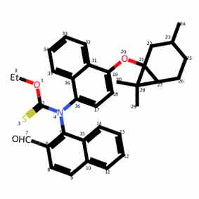 CCOC(=S)N(c1c(C=O)ccc2ccccc12)c1ccc(OC23CC(C)CCC2C3(C)C)c2ccccc12